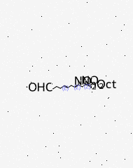 CCCCCCCC/C=C(/C/C(=C/C/C=C/CCC[C]=O)[N+](=O)[O-])[N+](=O)[O-]